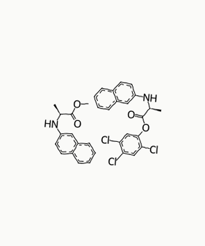 COC(=O)[C@H](C)Nc1ccc2ccccc2c1.C[C@H](Nc1ccc2ccccc2c1)C(=O)Oc1cc(Cl)c(Cl)cc1Cl